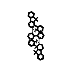 CC1(C)C2=C(C=CC3N(c4ccccc4-c4ccccc4-n4c5ccccc5c5c6c(ccc54)-c4ccccc4C6(C)C)c4ccccc4C23C)c2ccccc21